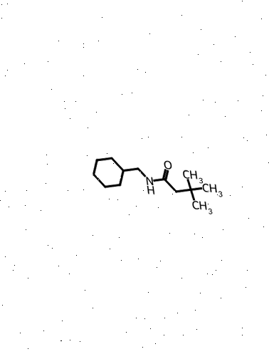 CC(C)(C)CC(=O)NCC1CCCCC1